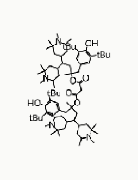 CC1CC(C(CC(C)(Cc2cc(C(C)(C)C)c(O)c(C(C)(C)C)c2)OC(=O)CC(=O)OC(C)(Cc2cc(C(C)(C)C)c(O)c(C(C)(C)C)c2)CC(C2CC(C)N(C)C(C)(C)C2)C2CC(C)N(C)C(C)(C)C2)C2CC(C)N(C)C(C)(C)C2)CC(C)(C)N1C